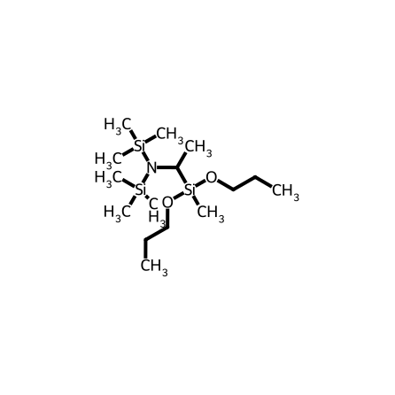 CCCO[Si](C)(OCCC)C(C)N([Si](C)(C)C)[Si](C)(C)C